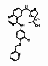 CC(O)[C@]1(C)CN=C(Nc2ccc3ncnc(Nc4ccc(OCc5ccccn5)c(Cl)c4)c3c2)O1